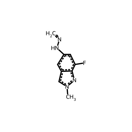 C=NNc1cc(F)c2nn(C)cc2c1